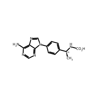 C[C@H](NC(=O)O)c1ccc(-n2cnc3c(N)ncnc32)cc1